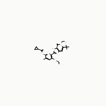 CCn1c(C(F)(F)F)cc2nc(-c3nc(NC(=O)C4CC4)c(Cl)cc3S(=O)(=O)CC)n(C)c2c1=O